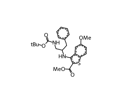 COC(=O)c1sc2ccc(OC)cc2c1NC(CNC(=O)OC(C)(C)C)Cc1ccccc1